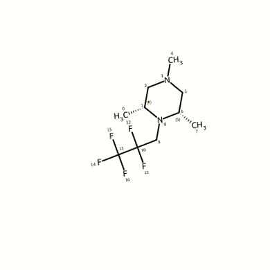 C[C@@H]1CN(C)C[C@H](C)N1CC(F)(F)C(F)(F)F